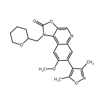 COc1cc2c(cc1-c1c(C)noc1C)ncc1oc(=O)n(CC3CCCCO3)c12